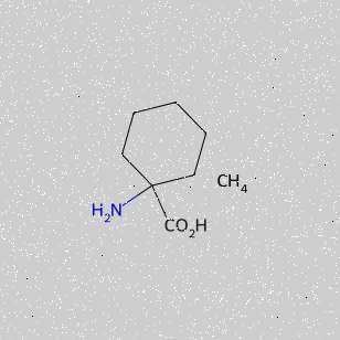 C.NC1(C(=O)O)CCCCC1